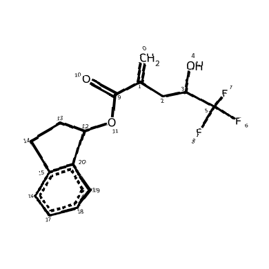 C=C(CC(O)C(F)(F)F)C(=O)OC1CCc2ccccc21